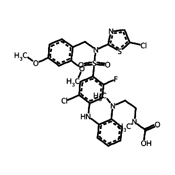 COc1ccc(CN(c2ncc(Cl)s2)S(=O)(=O)c2cc(Cl)c(Nc3ccccc3N(C)CCN(C)C(=O)O)cc2F)c(OC)c1